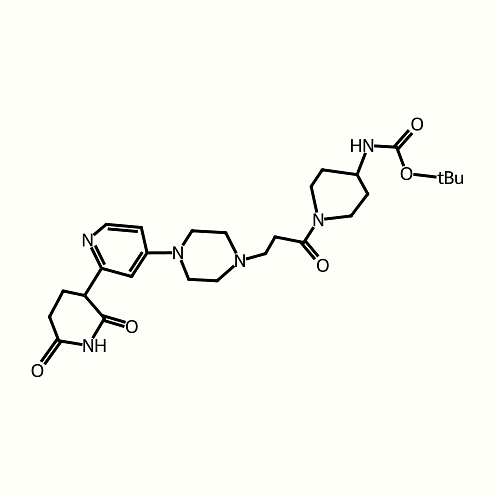 CC(C)(C)OC(=O)NC1CCN(C(=O)CCN2CCN(c3ccnc(C4CCC(=O)NC4=O)c3)CC2)CC1